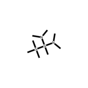 CN(C)[Si](C)(N(C)C)[Si](C)(C)C